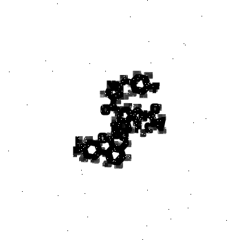 CC(C)(C)OC(=O)c1c(COCC2CN(C(=O)c3cnn(Cc4ccc(F)cc4)c3)CC23CN(C(=O)C2(C(F)(F)F)CC2)C3)cccc1C1CCC(F)(F)CC1